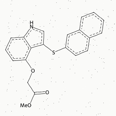 COC(=O)COc1cccc2[nH]cc(Sc3ccc4ccccc4c3)c12